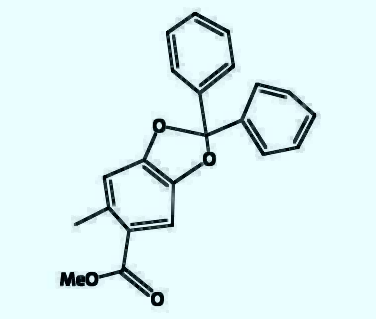 COC(=O)c1cc2c(cc1C)OC(c1ccccc1)(c1ccccc1)O2